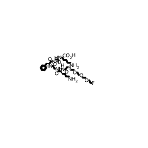 NCCCC[C@H](NC(=O)CNC(=O)[C@H](Cc1ccccc1)NC(=O)CNC(=O)[C@H](CCCCN)NC(=O)CSCCOCCOCCOCCF)C(=O)O